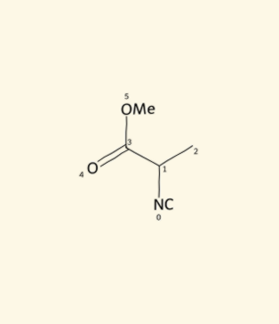 [C-]#[N+]C(C)C(=O)OC